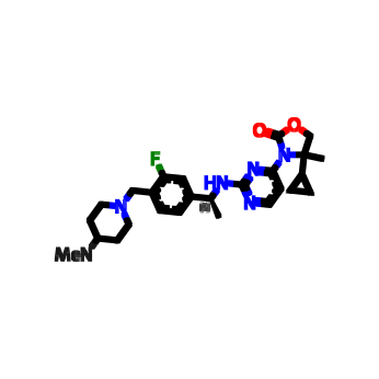 CNC1CCN(Cc2ccc([C@H](C)Nc3nccc(N4C(=O)OCC4(C)C4CC4)n3)cc2F)CC1